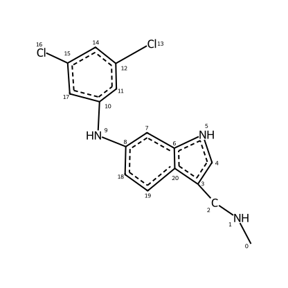 CNCc1c[nH]c2cc(Nc3cc(Cl)cc(Cl)c3)ccc12